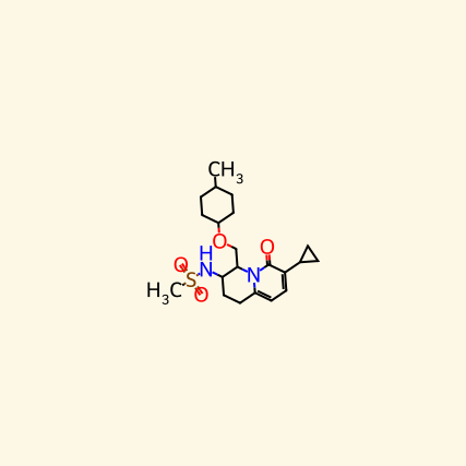 CC1CCC(OCC2C(NS(C)(=O)=O)CCc3ccc(C4CC4)c(=O)n32)CC1